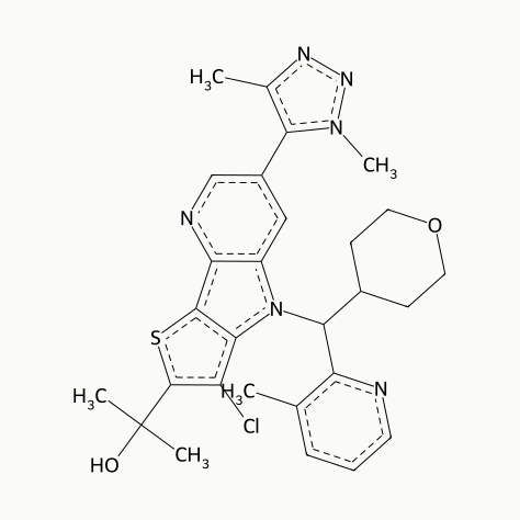 Cc1cccnc1C(C1CCOCC1)n1c2cc(-c3c(C)nnn3C)cnc2c2sc(C(C)(C)O)c(Cl)c21